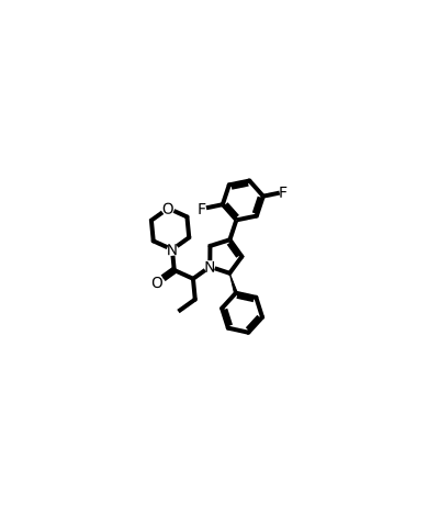 CCC(C(=O)N1CCOCC1)N1CC(c2cc(F)ccc2F)=C[C@H]1c1ccccc1